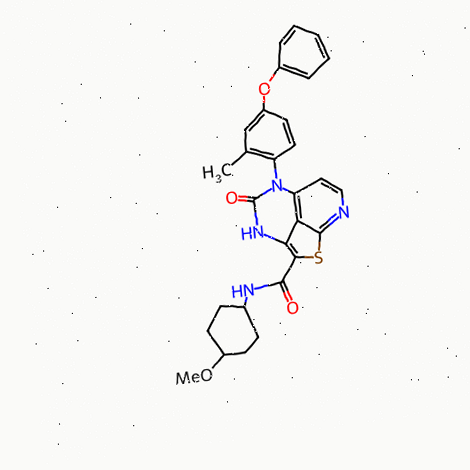 COC1CCC(NC(=O)c2sc3nccc4c3c2NC(=O)N4c2ccc(Oc3ccccc3)cc2C)CC1